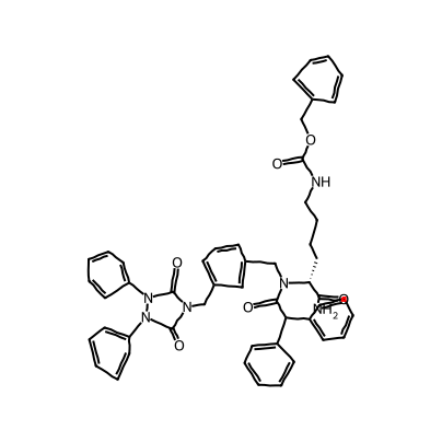 NC(=O)[C@@H](CCCCNC(=O)OCc1ccccc1)N(Cc1cccc(Cn2c(=O)n(-c3ccccc3)n(-c3ccccc3)c2=O)c1)C(=O)C(c1ccccc1)c1ccccc1